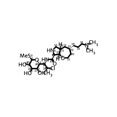 CSC1O[C@H]([C@H](NC(=O)[C@H]2NC[C@@H]3C[C@H](CCCN(C)C)CCO[C@H]32)[C@H](C)Cl)[C@@H](O)C(O)[C@H]1O